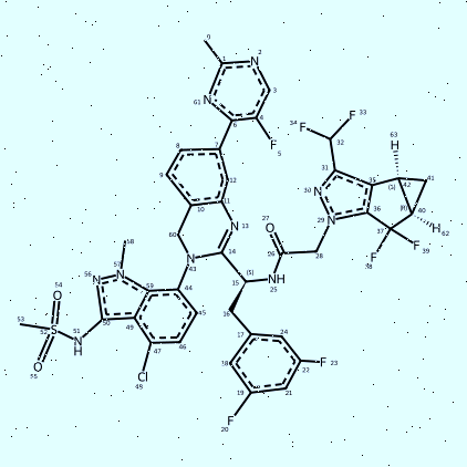 Cc1ncc(F)c(-c2ccc3c(c2)N=C([C@H](Cc2cc(F)cc(F)c2)NC(=O)Cn2nc(C(F)F)c4c2C(F)(F)[C@@H]2C[C@H]42)N(c2ccc(Cl)c4c(NS(C)(=O)=O)nn(C)c24)C3)n1